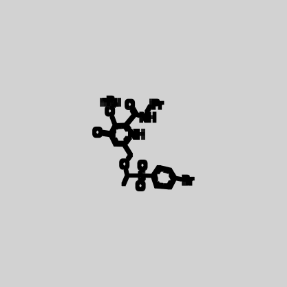 CCCCOc1c(C(=O)NC(C)C)[nH]c(COC(C)S(=O)(=O)c2ccc(Br)cc2)cc1=O